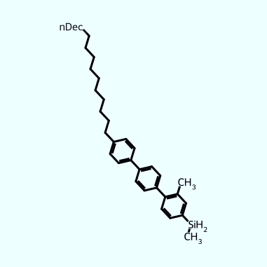 CCCCCCCCCCCCCCCCCCCCc1ccc(-c2ccc(-c3ccc([SiH2]C)cc3C)cc2)cc1